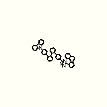 c1ccc(-c2nnc(-c3ccc(-c4ccccc4-c4ccccc4-c4ccc(-n5c6ccccc6c6ccccc65)cc4)cc3)n2-c2cccc3ccccc23)cc1